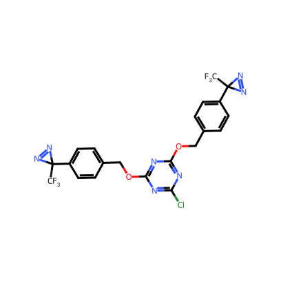 FC(F)(F)C1(c2ccc(COc3nc(Cl)nc(OCc4ccc(C5(C(F)(F)F)N=N5)cc4)n3)cc2)N=N1